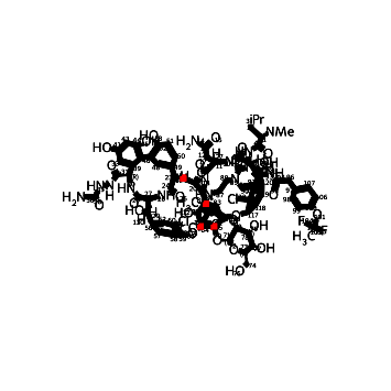 CN[C@H](CC(C)C)C(=O)N[C@H]1C(=O)N[C@@H](CC(N)=O)C(=O)NC2C(=O)N[C@H]3C(=O)N[C@H](C(=O)N[C@@H](C(=O)NNC(N)=O)c4cc(O)cc(O)c4-c4cc3ccc4O)[C@H](O)c3ccc(c(Cl)c3)Oc3cc2cc(c3O[C@@H]2O[C@H](CO)[C@@H](O)[C@H](O)[C@H]2O[C@H]2C[C@](C)(NCCn3ccc(NC(=O)Cc4ccc(OC(C)(F)F)cc4)nc3=O)[C@H](O)[C@H](C)O2)Oc2ccc(cc2Cl)[C@H]1O